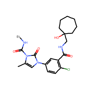 CCNC(=O)n1c(C)cn(-c2ccc(Cl)c(C(=O)NCC3(O)CCCCCC3)c2)c1=O